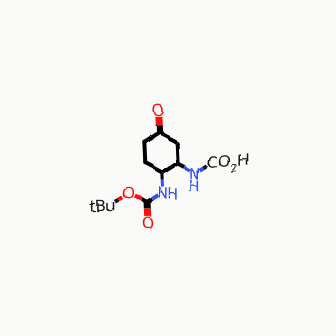 CC(C)(C)OC(=O)NC1CCC(=O)CC1NC(=O)O